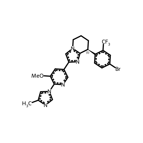 COc1cc(-c2cn3c(n2)[C@H](c2ccc(Br)cc2C(F)(F)F)CCC3)cnc1-n1cnc(C)c1